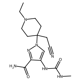 CCN1CCC(CC#N)(n2cc(NC(=O)NC)c(C(N)=O)n2)CC1